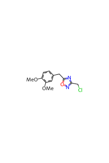 COc1ccc(Cc2nc(CCl)no2)cc1OC